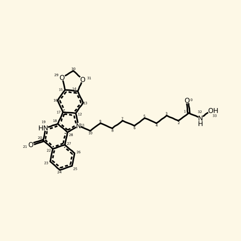 O=C(CCCCCCCCCn1c2cc3c(cc2c2[nH]c(=O)c4ccccc4c21)OCO3)NO